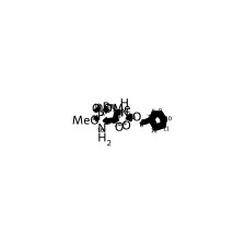 CCC[C@H](NC(=O)OCc1ccccc1)C(=O)C(N)P(=O)(OC)OC